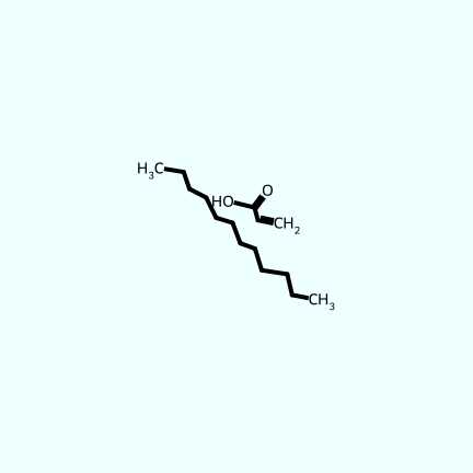 C=CC(=O)O.CCCCCCCCCCCC